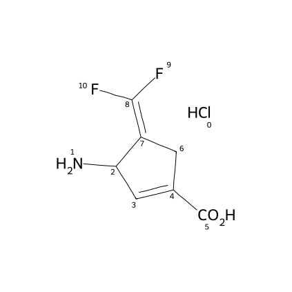 Cl.NC1C=C(C(=O)O)CC1=C(F)F